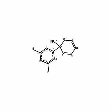 Cc1cc(C)cc(C2(C#N)C=CC=CC2)c1